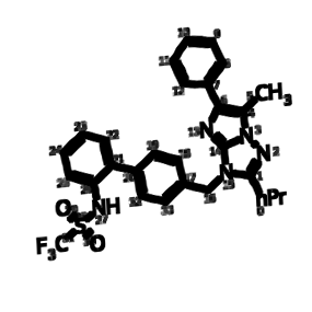 CCCc1nn2c(C)c(-c3ccccc3)nc2n1Cc1ccc(-c2ccccc2NS(=O)(=O)C(F)(F)F)cc1